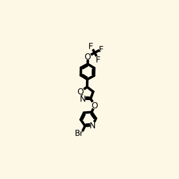 FC(F)(F)Oc1ccc(C2CC(Oc3ccc(Br)nc3)=NO2)cc1